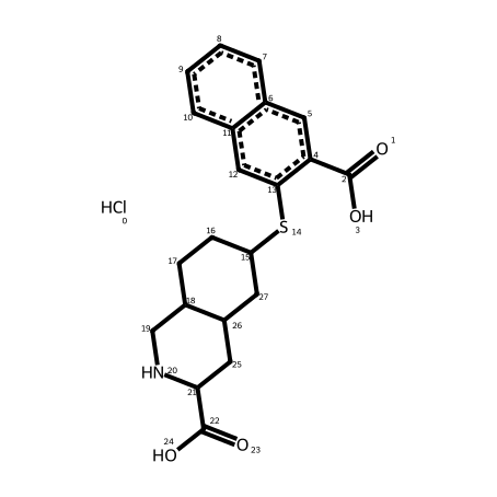 Cl.O=C(O)c1cc2ccccc2cc1SC1CCC2CNC(C(=O)O)CC2C1